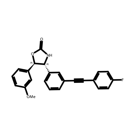 COc1cccc([C@H]2OC(=O)N[C@@H]2c2cccc(C#Cc3ccc(F)cc3)c2)c1